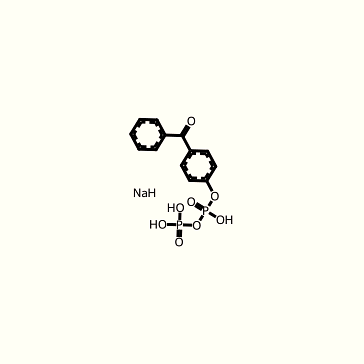 O=C(c1ccccc1)c1ccc(OP(=O)(O)OP(=O)(O)O)cc1.[NaH]